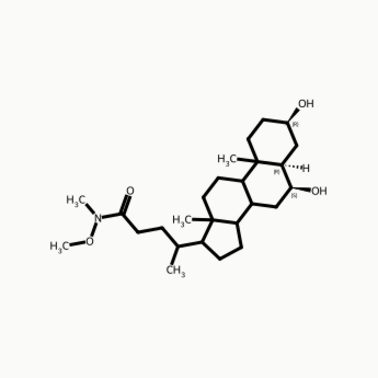 CON(C)C(=O)CCC(C)C1CCC2C3C[C@H](O)[C@@H]4C[C@H](O)CCC4(C)C3CCC12C